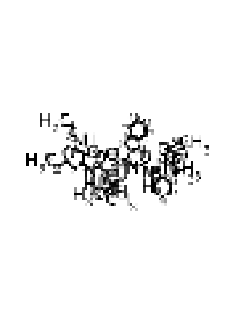 C=CCNC(=O)C(=O)C(CCCC)NC(=O)[C@@H]1[C@@H]2[C@H](CN1C(=O)[C@@H](NC(=O)N[C@H](CN(C)S(=O)(=O)CC)C1(C)CCCCC1)C1Cc3ccccc3C1)C2(C)C